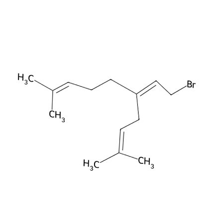 CC(C)=CCC/C(=C/CBr)CC=C(C)C